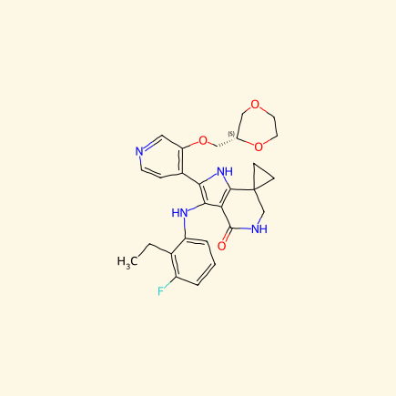 CCc1c(F)cccc1Nc1c(-c2ccncc2OC[C@@H]2COCCO2)[nH]c2c1C(=O)NCC21CC1